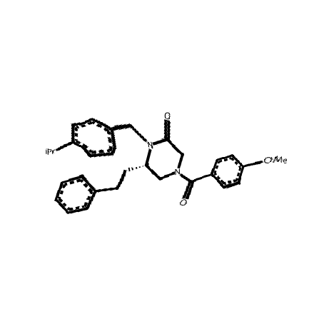 COc1ccc(C(=O)N2CC(=O)N(Cc3ccc(C(C)C)cc3)[C@@H](CCc3ccccc3)C2)cc1